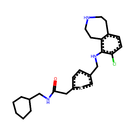 O=C(Cc1ccc(CNc2c(Cl)ccc3c2CCNCC3)cc1)NCC1CCCCC1